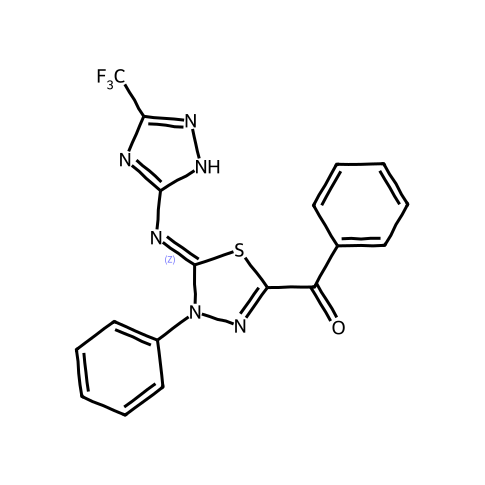 O=C(c1ccccc1)c1nn(-c2ccccc2)/c(=N/c2nc(C(F)(F)F)n[nH]2)s1